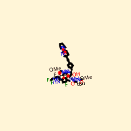 COC(=O)N[C@H](C(=O)NN(Cc1c(F)cc(C(=N)/C=C\NCC(F)F)cc1F)C[C@H](O)[C@H](Cc1ccc(C#Cc2ccc(N3CC4CCC(C3)N4C3COC3)nc2)cc1)NC(=O)[C@@H](NC(=O)OC)C(C)(C)C(F)(F)F)C(C)(C)C